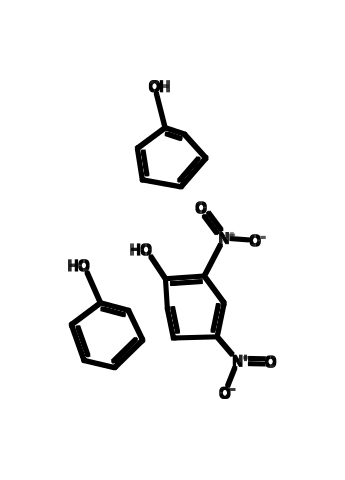 O=[N+]([O-])c1ccc(O)c([N+](=O)[O-])c1.Oc1ccccc1.Oc1ccccc1